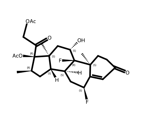 CC(=O)OCC(=O)[C@@]1(OC(C)=O)[C@H](C)C[C@H]2[C@@H]3C[C@H](F)C4=CC(=O)CC[C@]4(C)[C@@]3(F)[C@@H](O)C[C@@]21C